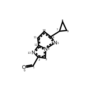 O=Cc1cn2nc(C3CC3)ccc2n1